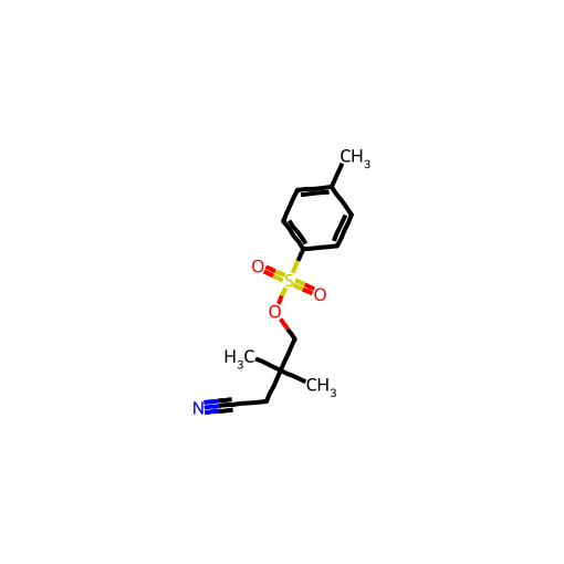 Cc1ccc(S(=O)(=O)OCC(C)(C)CC#N)cc1